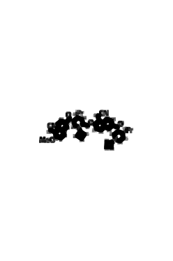 COc1ccc2cc(C(=O)[C@@H]3CN(C4CCC4)C(COc4ccc5cc(C(=O)[C@H]6CN(C7CCC7)CC[C@H]6C(C)C)ccc5c4CC#N)C[C@@H]3C(C)C)ccc2c1CC#N